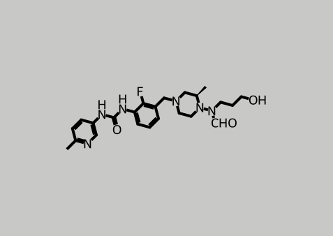 Cc1ccc(NC(=O)Nc2cccc(CN3CCN(N(C=O)CCCO)[C@H](C)C3)c2F)cn1